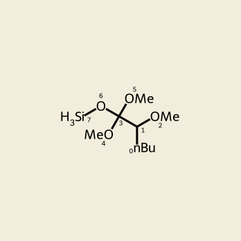 CCCCC(OC)C(OC)(OC)O[SiH3]